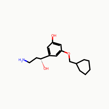 NCC[C@@H](O)c1cc(O)cc(OCC2CCCCC2)c1